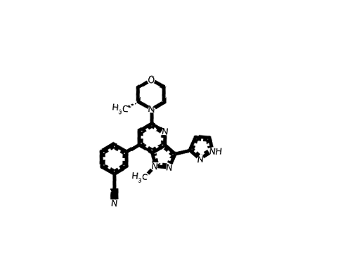 C[C@@H]1COCCN1c1cc(-c2cccc(C#N)c2)c2c(n1)c(-c1cc[nH]n1)nn2C